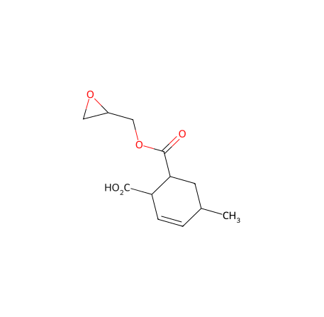 CC1C=CC(C(=O)O)C(C(=O)OCC2CO2)C1